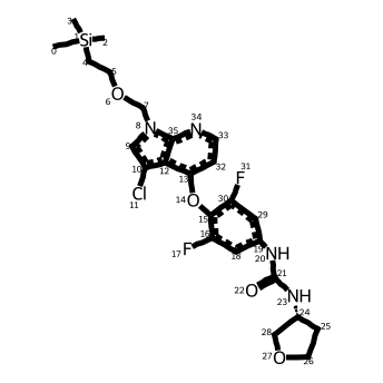 C[Si](C)(C)CCOCn1cc(Cl)c2c(Oc3c(F)cc(NC(=O)N[C@@H]4CCOC4)cc3F)ccnc21